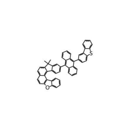 CC1(C)c2cc(-c3c4ccccc4c(-c4ccc5sc6ccccc6c5c4)c4ccccc34)ccc2-c2c1ccc1ccc3oc4ccccc4c3c21